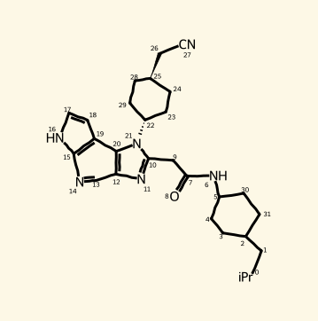 CC(C)CC1CCC(NC(=O)Cc2nc3cnc4[nH]ccc4c3n2[C@H]2CC[C@H](CC#N)CC2)CC1